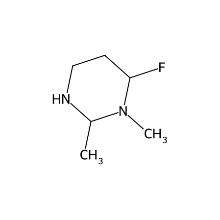 CC1NCCC(F)N1C